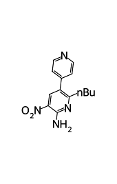 CCCCc1nc(N)c([N+](=O)[O-])cc1-c1ccncc1